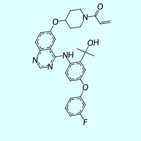 C=CC(=O)N1CCC(Oc2ccc3ncnc(Nc4ccc(Oc5cccc(F)c5)cc4C(C)(C)O)c3c2)CC1